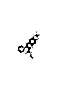 CCOC(=O)c1nc2cc3c(cc2cc1N1C=CC=CC1)OC(F)(F)O3